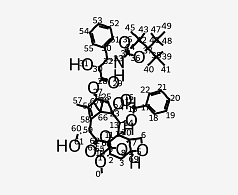 CO[C@H]1C[C@H]2OC[C@@]2(OC(C)=O)[C@H]2[C@H](OC(=O)c3ccccc3)[C@]3(O)C[C@H](OC(=O)[C@H](O)[C@@H](NC(=O)OC(C(C)(C)C)(C(C)(C)C)C(C)(C)C)c4ccccc4)C(C)=C([C@@H](CO)C(=O)[C@]12C)C3(C)C